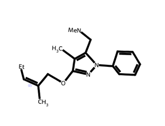 CC/C=C(/C)COc1nn(-c2ccccc2)c(CNC)c1C